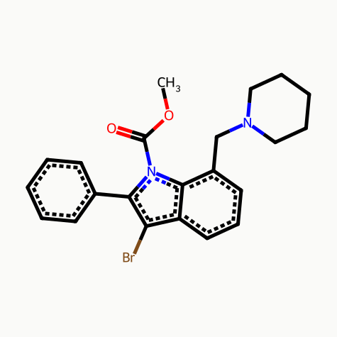 COC(=O)n1c(-c2ccccc2)c(Br)c2cccc(CN3CCCCC3)c21